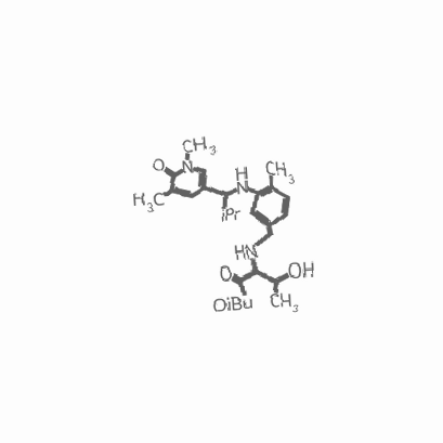 Cc1ccc(CNC(C(=O)OCC(C)C)C(C)O)cc1NC(c1cc(C)c(=O)n(C)c1)C(C)C